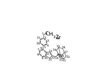 CCc1ccc(-c2cccc3c2C=C(CC24CC5CC(CC(C5)C2)C4)[CH]3)cc1.[Zr]